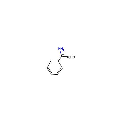 N[C@@H](C=O)C1C=CC=CC1